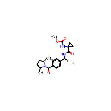 CC(NC(=O)C1(NC(=O)OC(C)(C)C)CC1)c1ccc(C(=O)N2C(C)CC[C@H]2C)cc1